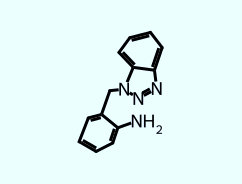 Nc1ccccc1Cn1nnc2ccccc21